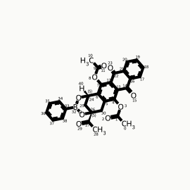 CC(=O)Oc1c2c(c(OC(C)=O)c3c1C(=O)c1ccccc1C3=O)[C@@H]1C[C@](C(C)=O)(C2)OB(c2ccccc2)O1